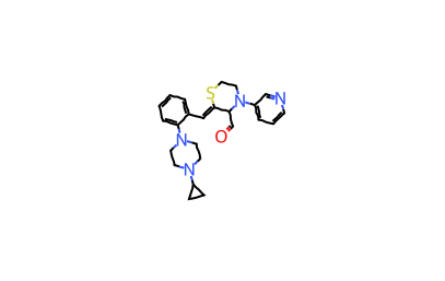 O=CC1C(=Cc2ccccc2N2CCN(C3CC3)CC2)SCCN1c1cccnc1